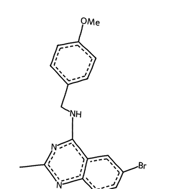 COc1ccc(CNc2nc(C)nc3ccc(Br)cc23)cc1